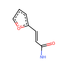 [NH]C(=O)C=Cc1ccco1